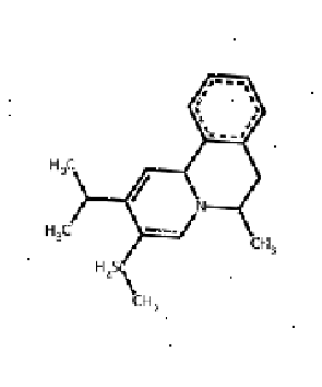 C[SiH2]C1=CN2C(C)Cc3ccccc3C2C=C1C(C)C